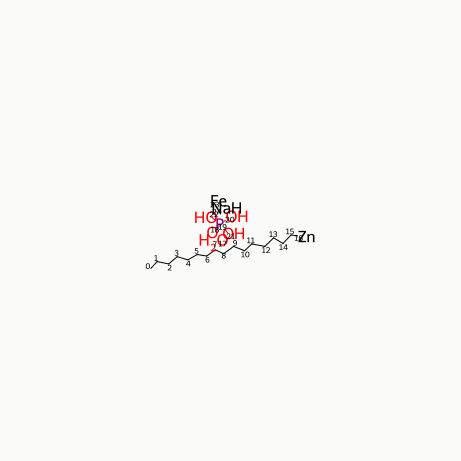 CCCCCCCCCCCCCCC[CH2][Zn].O.O=P(O)(O)O.[Fe].[NaH]